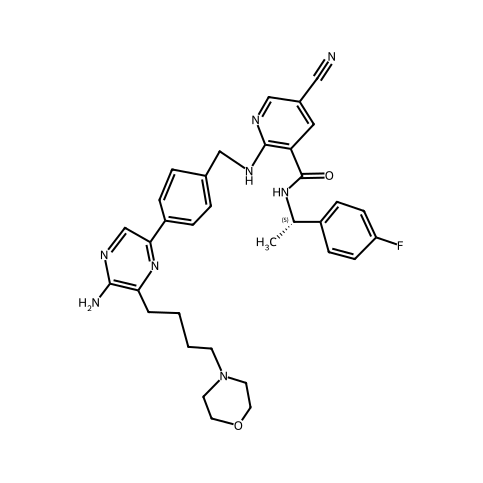 C[C@H](NC(=O)c1cc(C#N)cnc1NCc1ccc(-c2cnc(N)c(CCCCN3CCOCC3)n2)cc1)c1ccc(F)cc1